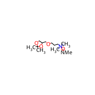 CNO[N+](C)(C)CCCOCC1COC(C)(C)O1